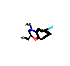 CN1C[C@@H](CC#N)Oc2ccc(F)cc21